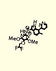 COc1nc(NS(=O)(=O)c2c[nH]c3c(-c4cccnn4)c(C)ccc23)nc(OC)c1OCC(F)F